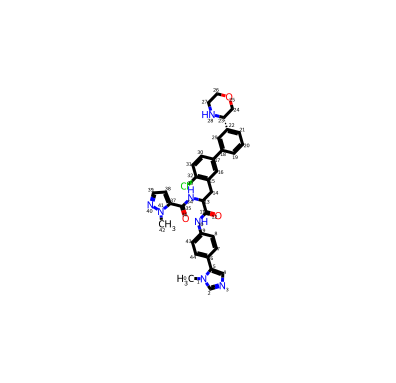 Cn1cncc1-c1ccc(NC(=O)C(Cc2cc(-c3cccc([C@H]4COCCN4)c3)ccc2Cl)NC(=O)c2ccnn2C)cc1